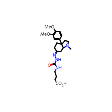 COc1ccc(C23CC/C(=N/NC(=O)NCCCC(=O)O)CC2N(C)CC3)cc1OC